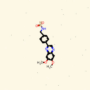 COc1cc2ncc(-c3ccc(CN[SH](=O)=O)cc3)nc2cc1OC